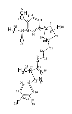 COc1ccc([C@@]23C[C@H]2CN(CCCSc2nnc(-c4ccc(F)c(F)c4)n2C)C3)cc1C(C)=O